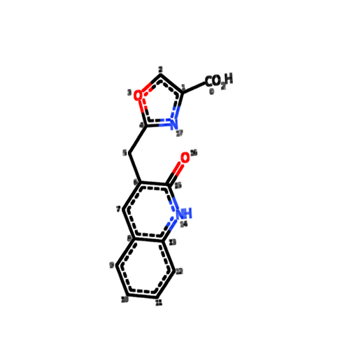 O=C(O)c1coc(Cc2cc3ccccc3[nH]c2=O)n1